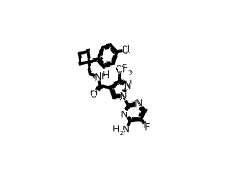 Nc1nc(-n2cc(C(=O)NCC3(c4ccc(Cl)cc4)CCC3)c(C(F)(F)F)n2)ncc1F